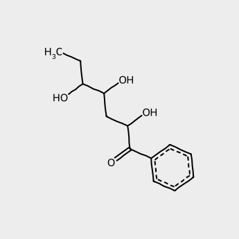 CCC(O)C(O)CC(O)C(=O)c1ccccc1